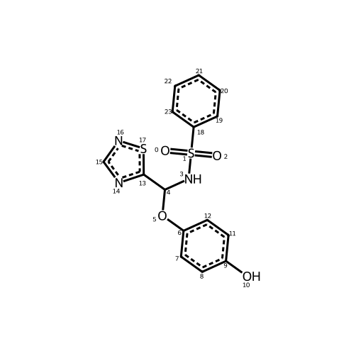 O=S(=O)(NC(Oc1ccc(O)cc1)c1ncns1)c1ccccc1